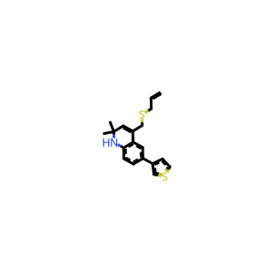 C=CCSCC1=CC(C)(C)Nc2ccc(-c3ccsc3)cc21